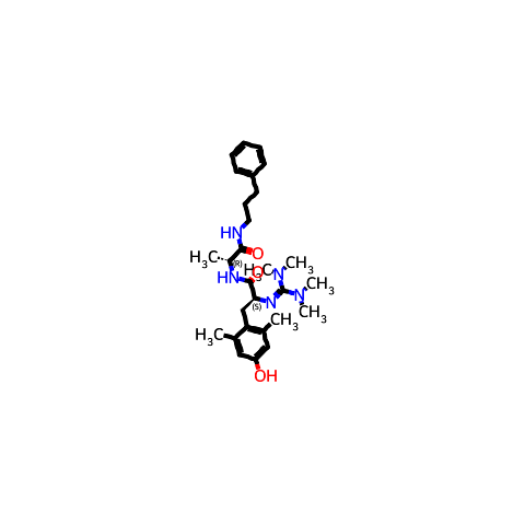 Cc1cc(O)cc(C)c1C[C@H](N=C(N(C)C)N(C)C)C(=O)N[C@H](C)C(=O)NCCCc1ccccc1